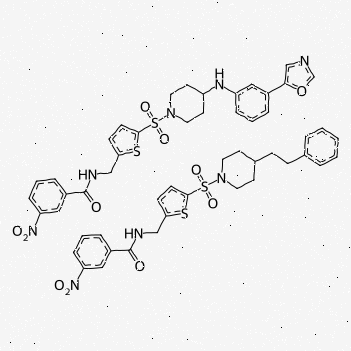 O=C(NCc1ccc(S(=O)(=O)N2CCC(CCc3ccccc3)CC2)s1)c1cccc([N+](=O)[O-])c1.O=C(NCc1ccc(S(=O)(=O)N2CCC(Nc3cccc(-c4cnco4)c3)CC2)s1)c1cccc([N+](=O)[O-])c1